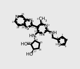 Cc1nc(NCc2cccs2)nc(N[C@@H]2CC[C@@H](O)[C@H]2O)c1-c1nc2cnccc2s1